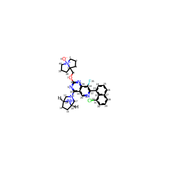 [O-][N+]12CCCC1(COc1nc(N3C[C@H]4CC[C@@H](C3)N4)c3cnc(-c4cccc5cccc(Cl)c45)c(F)c3n1)CCC2